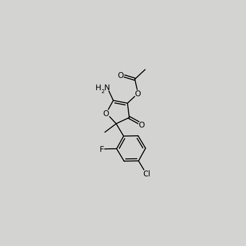 CC(=O)OC1=C(N)OC(C)(c2ccc(Cl)cc2F)C1=O